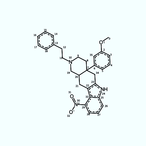 COc1cccc(C23CCN(CCc4ccccc4)CC2Cc2c([nH]c4cccc([N+](=O)[O-])c24)C3)c1